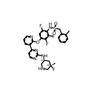 Cc1ccccc1CS(=O)(=O)Nc1c(F)cc(Oc2ncccc2-c2ccnc(N[C@@H]3CNC[C@@](C)(F)C3)n2)c(F)c1F